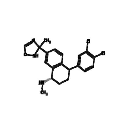 CN[C@H]1CCC(c2ccc(Cl)c(Cl)c2)c2ccc(C3(C)N=CON3)cc21